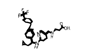 O=C(O)CCNCc1ccc(NC(CC2CC2)c2ccc(-c3ccc(C(F)(F)F)cc3)cc2)nc1